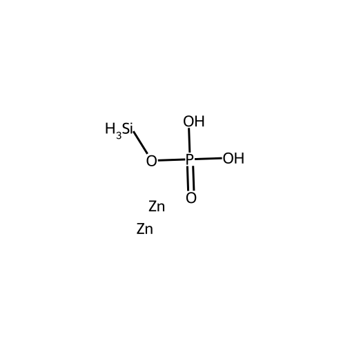 O=P(O)(O)O[SiH3].[Zn].[Zn]